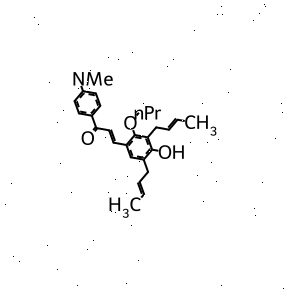 C/C=C/Cc1cc(/C=C/C(=O)c2ccc(NC)cc2)c(OCCC)c(C/C=C/C)c1O